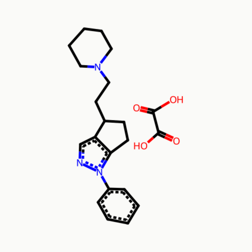 O=C(O)C(=O)O.c1ccc(-n2ncc3c2CCC3CCN2CCCCC2)cc1